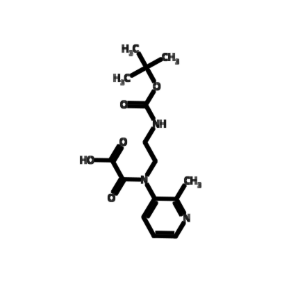 Cc1ncccc1N(CCNC(=O)OC(C)(C)C)C(=O)C(=O)O